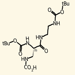 CC(C)(C)OC(=O)NCCNC(=O)[C@H](CNC(=O)O)NC(=O)OC(C)(C)C